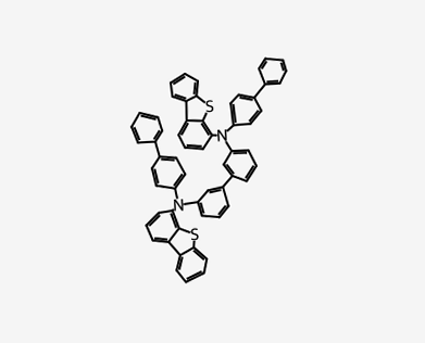 c1ccc(-c2ccc(N(c3cccc(-c4cccc(N(c5ccc(-c6ccccc6)cc5)c5cccc6c5sc5ccccc56)c4)c3)c3cccc4c3sc3ccccc34)cc2)cc1